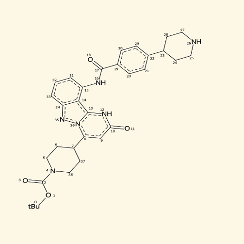 CC(C)(C)OC(=O)N1CCC(c2cc(=O)[nH]c3c4c(NC(=O)c5ccc(C6CCNCC6)cc5)cccc4nn23)CC1